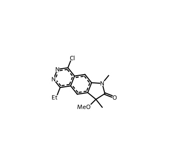 CCc1nnc(Cl)c2cc3c(cc12)C(C)(OC)C(=O)N3C